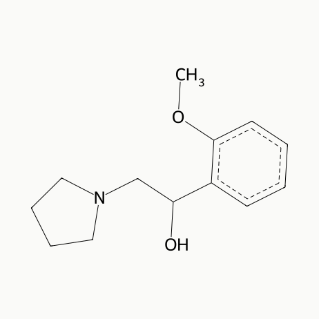 COc1ccccc1C(O)CN1CCCC1